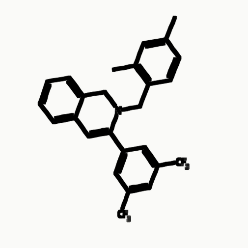 Cc1ccc(CN2Cc3ccccc3C=C2c2cc(C(F)(F)F)cc(C(F)(F)F)c2)c(C)c1